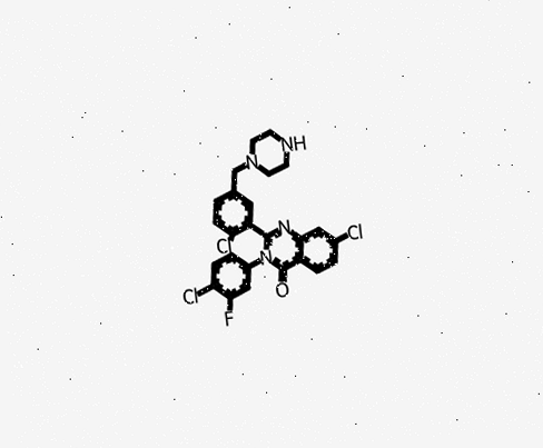 O=c1c2ccc(Cl)cc2nc(-c2cc(CN3CCNCC3)ccc2Cl)n1-c1ccc(Cl)c(F)c1